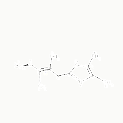 CC[C@H](C)S/C(C)=C(\N)Cc1nc(C)c(C)s1